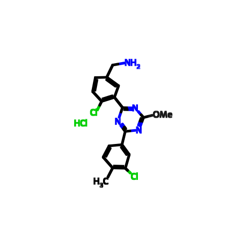 COc1nc(-c2ccc(C)c(Cl)c2)nc(-c2cc(CN)ccc2Cl)n1.Cl